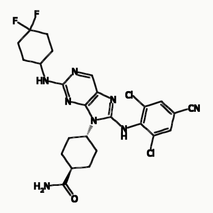 N#Cc1cc(Cl)c(Nc2nc3cnc(NC4CCC(F)(F)CC4)nc3n2[C@H]2CC[C@H](C(N)=O)CC2)c(Cl)c1